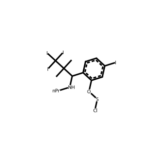 CCCNC(c1ccc(I)cc1OSCl)C(C)(C)C(I)(I)I